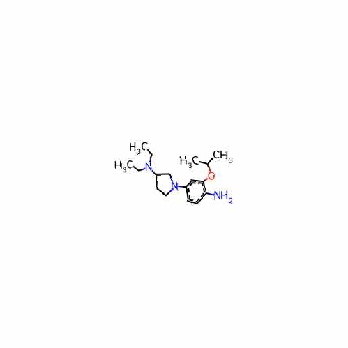 CCN(CC)C1CCN(c2ccc(N)c(OC(C)C)c2)C1